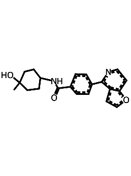 CC1(O)CCC(NC(=O)c2ccc(-c3nccc4occc34)cc2)CC1